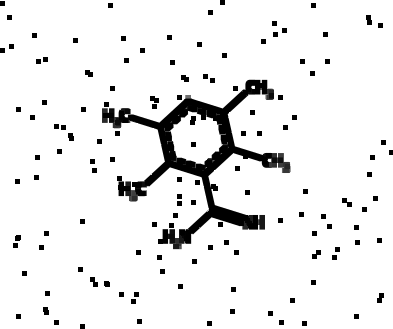 Cc1[c]c(C)c(C)c(C(=N)N)c1C